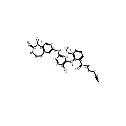 COc1cccc(C(=O)NCCC#N)c1Nc1nc(Nc2ccc3c(c2)CCCC(=O)N3C)ncc1Cl